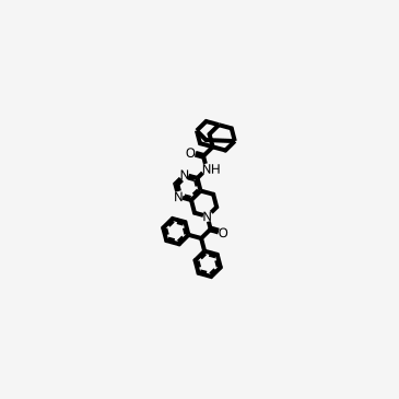 O=C(C(c1ccccc1)c1ccccc1)N1CCc2c(ncnc2NC(=O)C23CC4CC(CC(C4)C2)C3)C1